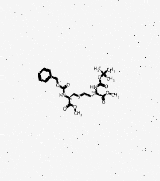 COC(=O)[C@H](CSCC[C@H](NC(=O)OC(C)(C)C)C(=O)OC)NC(=O)OCc1ccccc1